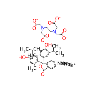 Cc1cc(O)c(C(C)C)cc1C1(c2cc(C(C)C)c(O)cc2C)OC(=O)c2ccccc21.O=C([O-])CN(CCN(CC(=O)[O-])CC(=O)[O-])CC(=O)[O-].[Na+].[Na+].[Na+].[Na+]